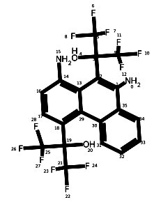 Nc1c(C(O)(C(F)(F)F)C(F)(F)F)c2c(N)ccc(C(O)(C(F)(F)F)C(F)(F)F)c2c2ccccc12